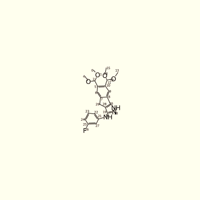 COC(OC)c1cc2c(cc1C(OC)OC)-c1[nH]nc(Nc3cccc(F)c3)c1C2